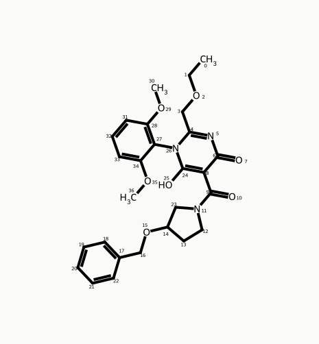 CCOCc1nc(=O)c(C(=O)N2CCC(OCc3ccccc3)C2)c(O)n1-c1c(OC)cccc1OC